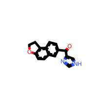 O=C(c1ccc2c3c(ccc2c1)OCC3)c1c[nH]cn1